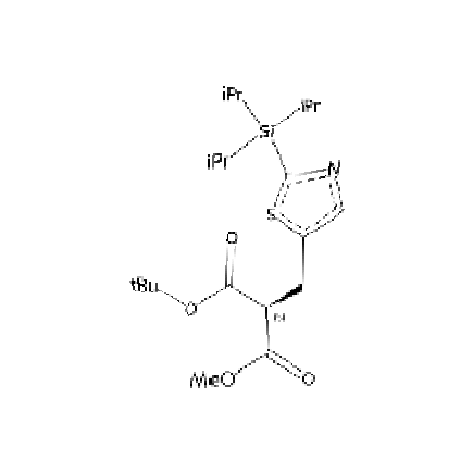 COC(=O)[C@H](Cc1cnc([Si](C(C)C)(C(C)C)C(C)C)s1)C(=O)OC(C)(C)C